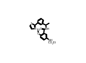 CCOC(=O)Nc1ccc(OCC)c(C(=O)NC(C)c2cccc(-c3nccs3)c2)c1